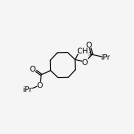 CC(C)OC(=O)C1CCCC(C)(OC(=O)C(C)C)CCC1